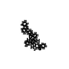 NC(NC(NCc1ccc2sc3ccccc3c2c1)c1cccc2c1oc1cc(-c3cccc4c3sc3ccccc34)ccc12)c1ccccc1